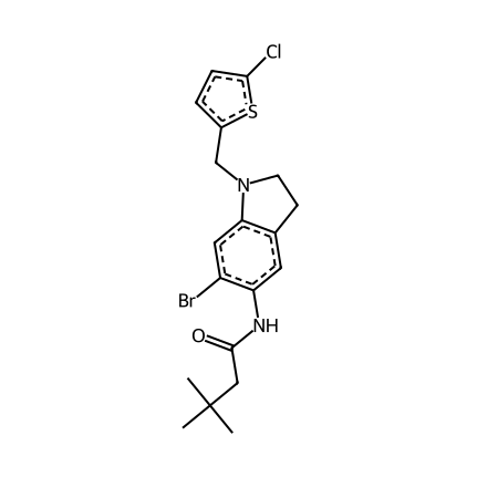 CC(C)(C)CC(=O)Nc1cc2c(cc1Br)N(Cc1ccc(Cl)s1)CC2